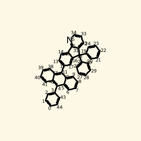 c1ccc(-c2c3ccccc3c(-c3ccc4c(c3)C(c3ccccc3)(c3ccccc3)c3cccnc3-4)c3ccccc23)cc1